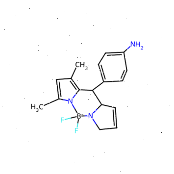 Cc1cc(C)n2c1C(c1ccc(N)cc1)C1C=CCN1[B-]2(F)F